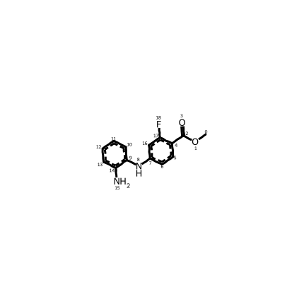 COC(=O)c1ccc(Nc2ccccc2N)cc1F